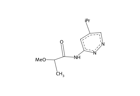 COC(C)C(=O)Nc1cc(C(C)C)cnn1